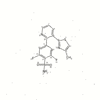 Cc1csc(-c2cccnc2-c2cc(F)c(S(N)(=O)=O)c(F)c2)n1